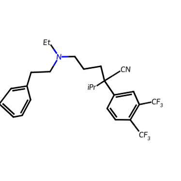 CCN(CCCC(C#N)(c1ccc(C(F)(F)F)c(C(F)(F)F)c1)C(C)C)CCc1ccccc1